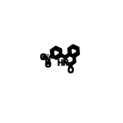 O=C1Cc2ccccc2C(c2cccc([N+](=O)[O-])c2)N1